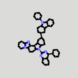 c1ccc(-c2nc(-n3c4ccc(-c5ccc6c(c5)c5ccccc5n6-c5ccccc5)cc4c4c5nc6ccccn6c5ccc43)nc3ccccc23)cc1